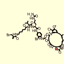 C=C(CBr)C(=O)NCCCCCC(=O)N[C@H](C(=O)N[C@@H](CCCNC(N)=O)C(=O)Nc1ccc(NC(=O)O[C@H]2CC(=O)N(C)c3cc(cc(OC)c3Cl)C/C(C)=C/C=C/[C@@H](OC)[C@@]3(O)C[C@H](OC(=O)N3)[C@@H](C)[C@@H]3O[C@@]23C)c(Br)c1)C(C)C